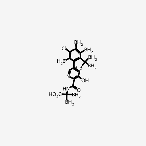 Bc1c(B)c(C(B)(B)B)c(-c2cnc(C(=O)NC(B)(B)C(=O)O)c(O)c2)c(B)c1Cl